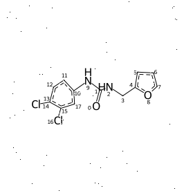 O=C(NCc1ccco1)Nc1ccc(Cl)c(Cl)c1